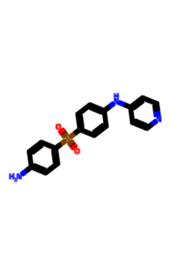 Nc1ccc(S(=O)(=O)c2ccc(Nc3ccncc3)cc2)cc1